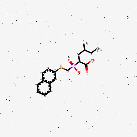 CCC(C)CC(C(=O)O)P(=O)(O)CSc1ccc2ccccc2c1